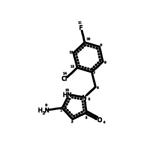 Nc1cc(=O)n(Cc2ccc(F)cc2Cl)[nH]1